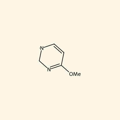 COC1=NC[N]C=C1